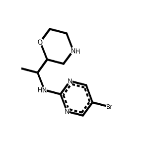 CC(Nc1ncc(Br)cn1)C1CNCCO1